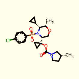 C[C@@H]1CCN(C(=O)OC2([C@H]3CO[C@@H](C)[C@@H](C4CC4)N3S(=O)(=O)c3ccc(Cl)cc3)CC2)C1